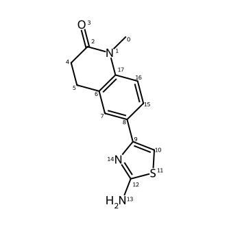 CN1C(=O)CCc2cc(-c3csc(N)n3)ccc21